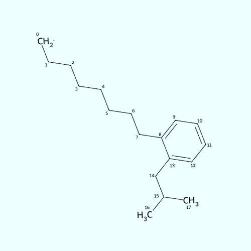 [CH2]CCCCCCCc1ccccc1CC(C)C